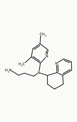 Cc1cnc(N(CCCN)C2CCCc3cccnc32)c(C)c1